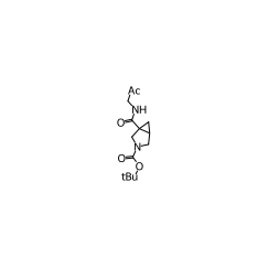 CC(=O)CNC(=O)C12CC1CN(C(=O)OC(C)(C)C)C2